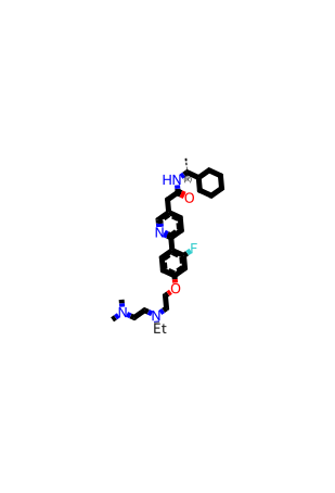 CCN(CCOc1ccc(-c2ccc(CC(=O)N[C@H](C)C3CCCCC3)cn2)c(F)c1)CCN(C)C